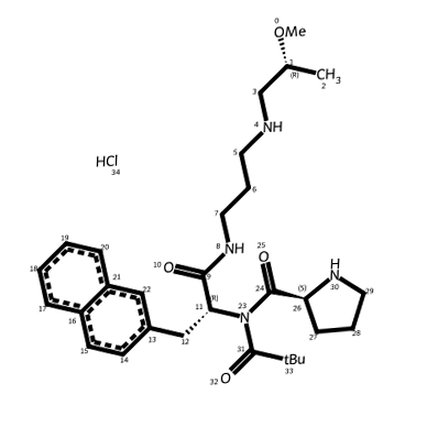 CO[C@H](C)CNCCCNC(=O)[C@@H](Cc1ccc2ccccc2c1)N(C(=O)[C@@H]1CCCN1)C(=O)C(C)(C)C.Cl